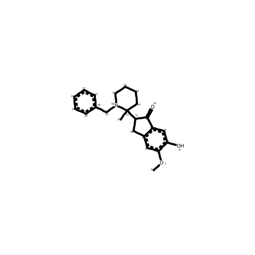 COc1cc2c(cc1O)C(=O)C(C1(C)CCCCN1Cc1ccccc1)C2